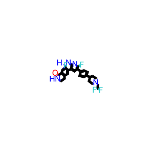 Nc1nc(F)c(-c2ccc(C3CCN(CC(F)F)CC3)cc2)cc1-c1cc2c(cc1F)C(=O)NCC2